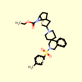 CCOC(=O)N1C2CCC3CC(N4CCC5(CC4)CN(S(=O)(=O)c4ccc(C)cc4)Cc4ccccc45)C[C@@]321